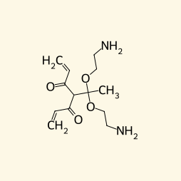 C=CC(=O)C(C(=O)C=C)C(C)(OCCN)OCCN